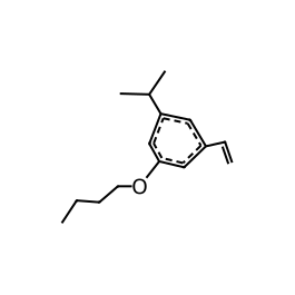 C=Cc1cc(OCCCC)cc(C(C)C)c1